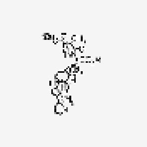 CC(NC(=O)OC(C)(C)C)C(=O)NC(C(=O)O)[C@H]1CC[C@@]2(C)C(=CC[C@@H]3[C@@H]2CC[C@]2(C)C(c4cccnc4)=CC[C@@H]32)C1